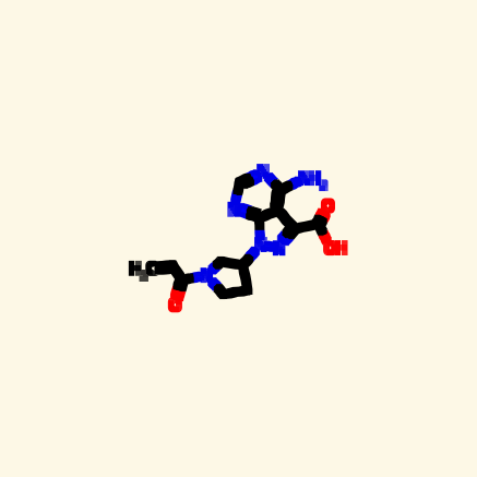 C=CC(=O)N1CCC(n2nc(C(=O)O)c3c(N)ncnc32)C1